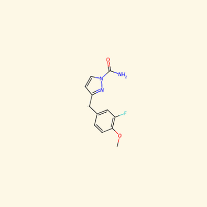 COc1ccc([CH]c2ccn(C(N)=O)n2)cc1F